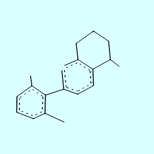 Cc1cccc(Cl)c1-c1ccc2c(n1)CCCC2C(=O)O